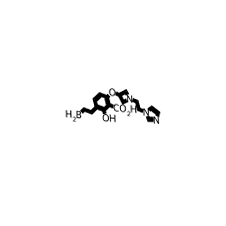 BCCc1ccc(OC2CN(CCn3ccnc3)C2)c(C(=O)O)c1O